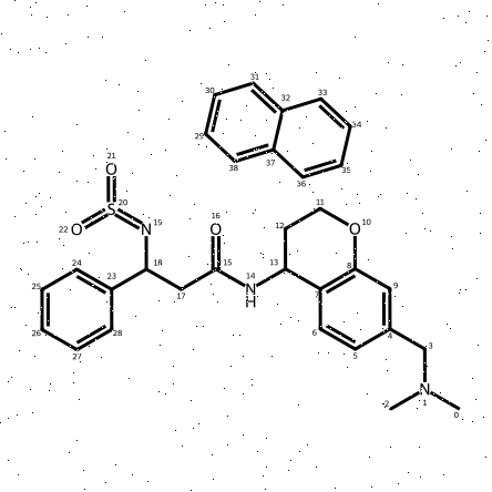 CN(C)Cc1ccc2c(c1)OCCC2NC(=O)CC(N=S(=O)=O)c1ccccc1.c1ccc2ccccc2c1